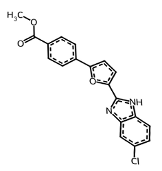 COC(=O)c1ccc(-c2ccc(-c3nc4cc(Cl)ccc4[nH]3)o2)cc1